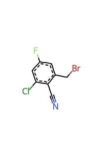 N#Cc1c(Cl)cc(F)cc1CBr